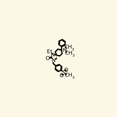 CCN1C(=O)N(Cc2ccc(S(C)(=O)=O)cc2)C[C@]12CC[C@@](c1ccccc1)(N(C)C)CC2